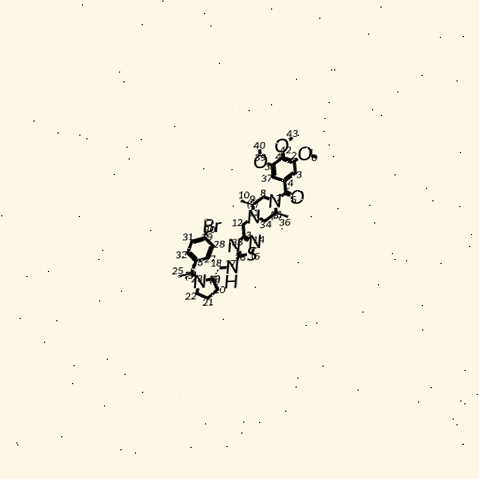 COc1cc(C(=O)N2C[C@H](C)N(Cc3nsc(NC[C@@H]4CCCN4[C@@H](C)c4ccc(Br)cc4)n3)C[C@@H]2C)cc(OC)c1OC